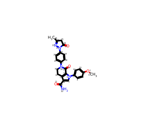 COc1ccc(-n2cc(C(N)=O)c3c2C(=O)N(c2ccc(N4N=C(C)CC4=O)cc2)CC3)cc1